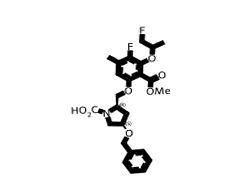 COC(=O)c1c(OC[C@H]2C[C@H](OCc3ccccc3)CN2C(=O)O)cc(C)c(F)c1OC(C)CF